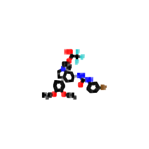 COc1ccc([C@@]23CC[C@@H](NC(=O)Nc4cccc(Br)c4)C[C@@H]2N(C)CC3)cc1OC.O=C(O)C(F)(F)F